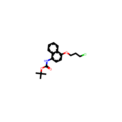 CC(C)(C)OC(=O)Nc1ccc(OCCCCl)c2ccccc12